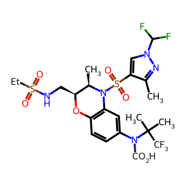 CCS(=O)(=O)NC[C@@H]1Oc2ccc(N(C(=O)O)C(C)(C)C(F)(F)F)cc2N(S(=O)(=O)c2cn(C(F)F)nc2C)[C@@H]1C